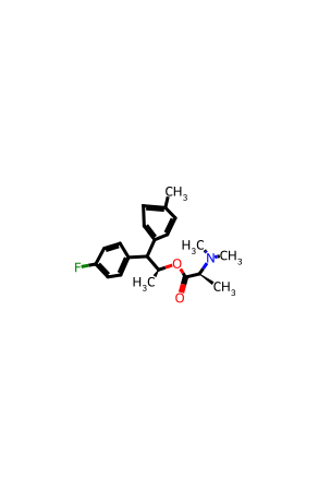 Cc1ccc(C(c2ccc(F)cc2)[C@H](C)OC(=O)[C@H](C)N(C)C)cc1